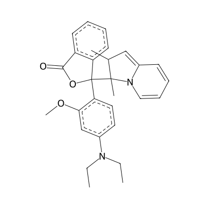 CCN(CC)c1ccc(C2(C3(C)C(C)C=C4C=CC=CN43)OC(=O)c3ccccc32)c(OC)c1